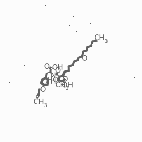 CC#CCOc1ccc(C[C@H](NC(=O)[C@@H](/C=C/CCCCCCC(=O)CCCCCCC)[C@](C)(O)C(=O)O)C(=O)O)cc1